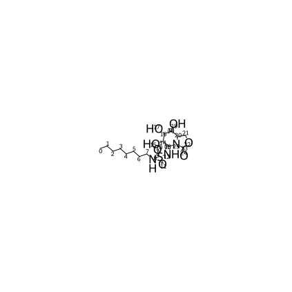 CCCCCCCCNS(=O)(=O)N[C@@H]1C(O)C(O)[C@H](O)C2COC(=O)N21